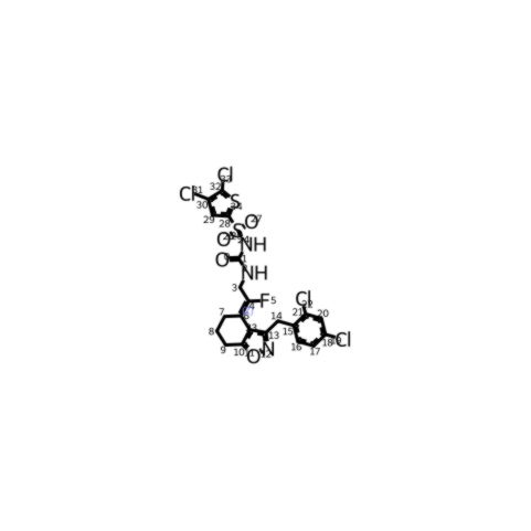 O=C(NC/C(F)=C1\CCCc2onc(Cc3ccc(Cl)cc3Cl)c21)NS(=O)(=O)c1cc(Cl)c(Cl)s1